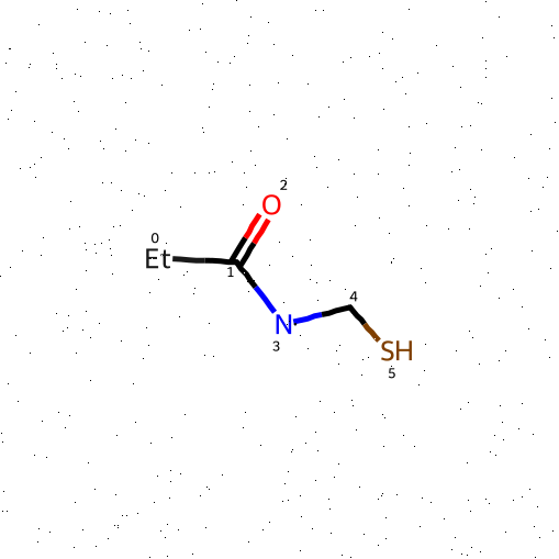 CCC(=O)[N]CS